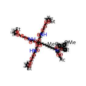 CCC1O[C@H](OCCOCCOCCNC(=O)CCOCC(COCCC(=O)NCCOCCOCCO[C@H]2OC(CC)[C@@H](C)[C@H](C)C2C)(COCCC(=O)NCCOCCOCCO[C@H]2OC(CC)[C@@H](C)[C@H](C)C2C)CC(=O)CCCCCCCCCCC(=O)N2C[C@H](OC(=O)CCC(C)=O)C[C@H]2COC(c2ccccc2)(c2ccc(OC)cc2)c2ccc(OC)cc2)C(C)[C@@H](C)[C@@H]1C